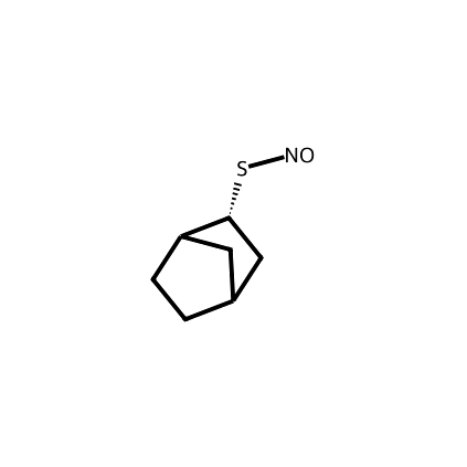 O=NS[C@@H]1CC2CCC1C2